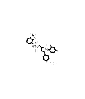 COc1ccc(C2CC(CNS(=O)(=O)c3cccc4nonc34)=NN2c2ccc(Cl)cc2Cl)cc1